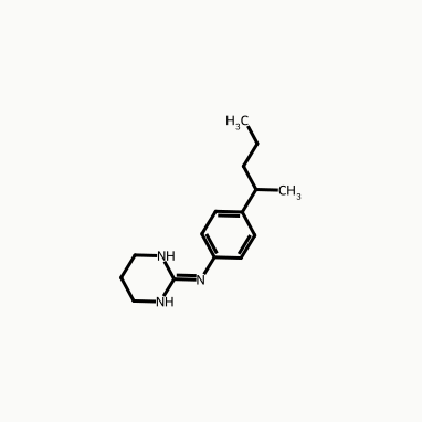 CCCC(C)c1ccc(N=C2NCCCN2)cc1